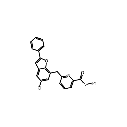 CC(C)NC(=O)c1cccc(Cc2cc(Cl)cc3cc(-c4ccccc4)oc23)n1